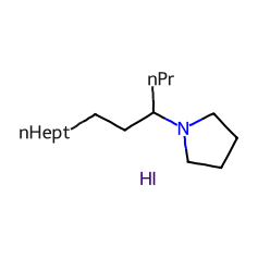 CCCCCCCCCC(CCC)N1CCCC1.I